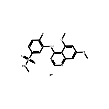 CNS(=O)(=O)c1ccc(F)c(Nc2ncnc3cc(OC)cc(OC)c23)c1.Cl